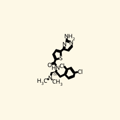 CN(C)C[C@H](Cc1ccc(Cl)cc1Cl)NC(=O)c1ccc(-c2ccnc(N)n2)s1